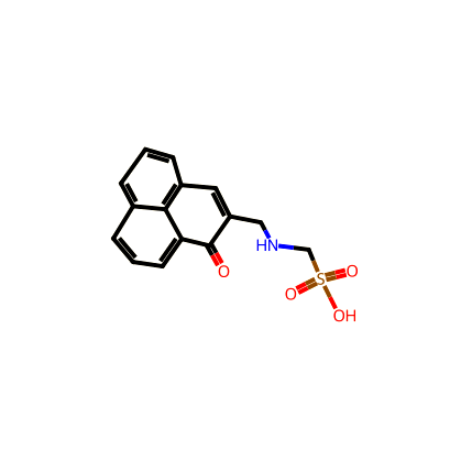 O=C1C(CNCS(=O)(=O)O)=Cc2cccc3cccc1c23